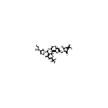 CCN[C@H]1CCN(C(=O)c2c(C)cc(C(F)(F)F)nc2-c2ccnc3cc(CN4C(=O)C5C(C4=O)C5(C)C)sc23)C1